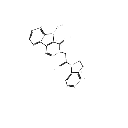 Cn1c2ccccc2c2cnn(CC(=O)N3CCc4ccccc43)c(=O)c21